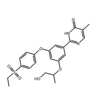 CCS(=O)(=O)c1ccc(Oc2cc(OC(C)CO)cc(-c3ncc(C)c(=O)[nH]3)c2)cc1